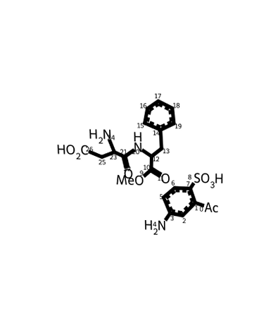 CC(=O)c1cc(N)ccc1S(=O)(=O)O.COC(=O)C(Cc1ccccc1)NC(=O)C(N)CC(=O)O